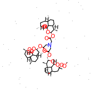 COOC1(C)CC[C@@H]2C3[C@H](O[C@@H](COC(=O)CN(CC(=O)OC4O[C@@H]5O[C@]6(C)CC[C@H]7[C@H](C)CC[C@@H]([C@H]4C)[C@@]57OO6)CC(=O)O[C@@H]4O[C@@H]5O[C@]6(C)CC[C@H]7[C@H](C)CC[C@@H]([C@H]4C)[C@@]57OO6)[C@H](C)[C@@H]3CC[C@H]2C)O1